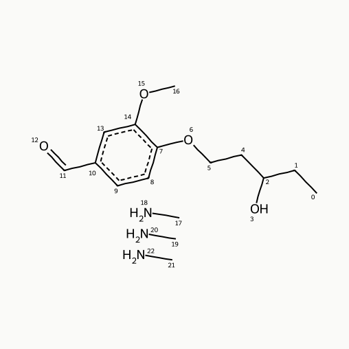 CCC(O)CCOc1ccc(C=O)cc1OC.CN.CN.CN